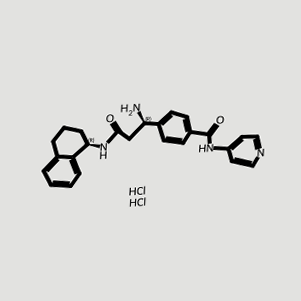 Cl.Cl.N[C@H](CC(=O)N[C@@H]1CCCc2ccccc21)c1ccc(C(=O)Nc2ccncc2)cc1